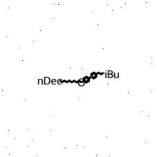 CCCCCCCCCCCCCCCCCCOc1ccc(-c2ccc(CCC[C@@H](C)CC)cc2)cc1